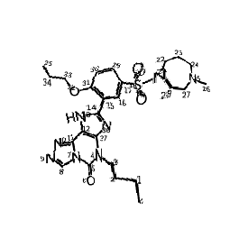 CCCCn1c(=O)n2cnnc2c2[nH]c(-c3cc(S(=O)(=O)N4CCCN(C)CC4)ccc3OCCC)nc21